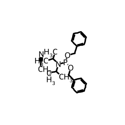 CC#N.CC(C)N(C(C)C)P(OCc1ccccc1)OCc1ccccc1